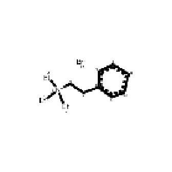 CC[N+](CC)(CC)CCc1ccccc1.[Br-]